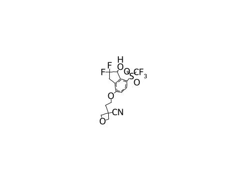 N#CC1(CCOc2ccc(S(=O)(=O)C(F)(F)F)c3c2CC(F)(F)[C@H]3O)COC1